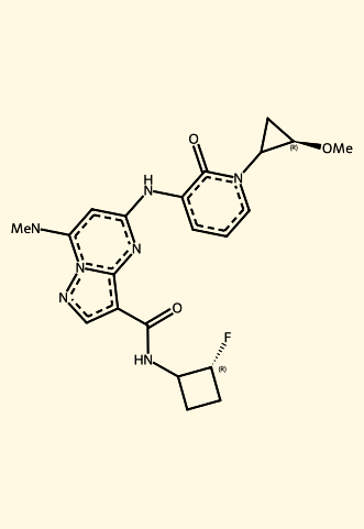 CNc1cc(Nc2cccn(C3C[C@H]3OC)c2=O)nc2c(C(=O)NC3CC[C@H]3F)cnn12